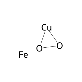 [Fe].[O]1[O][Cu]1